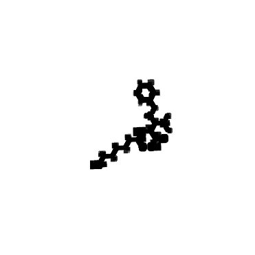 CN(C)C(SCc1ccccc1)C(NC(=O)CCCCCS)C(=O)O